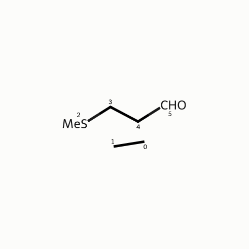 CC.CSCCC=O